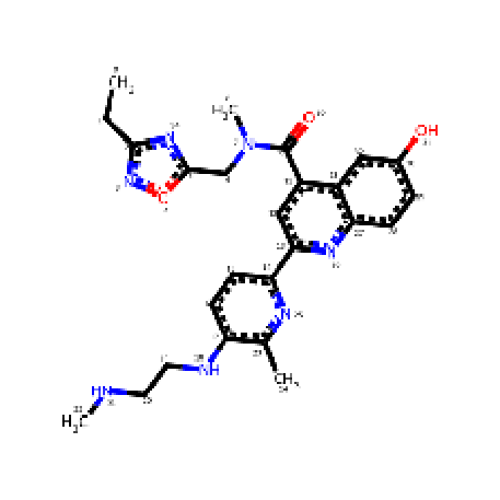 CCc1noc(CN(C)C(=O)c2cc(-c3ccc(NCCNC)c(C)n3)nc3ccc(O)cc23)n1